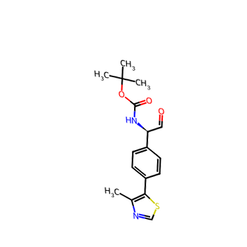 Cc1ncsc1-c1ccc([C@H](C=O)NC(=O)OC(C)(C)C)cc1